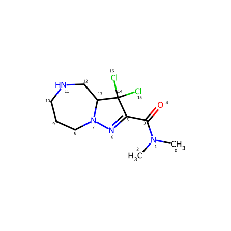 CN(C)C(=O)C1=NN2CCCNCC2C1(Cl)Cl